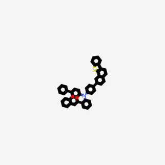 c1ccc(-c2ccc(N(c3ccc(-c4ccc5ccc6c7ccccc7sc6c5c4)cc3)c3ccccc3-c3ccc4ccccc4c3)cc2)cc1